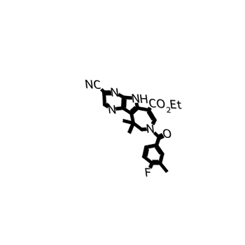 CCOC(=O)C1=CN(C(=O)c2ccc(F)c(C)c2)CC(C)(C)c2c1[nH]c1nc(C#N)cnc21